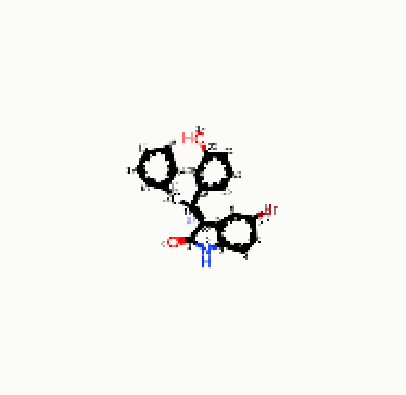 O=C1Nc2ccc(Br)cc2/C1=C(/Cc1ccccc1)c1cccc(O)c1